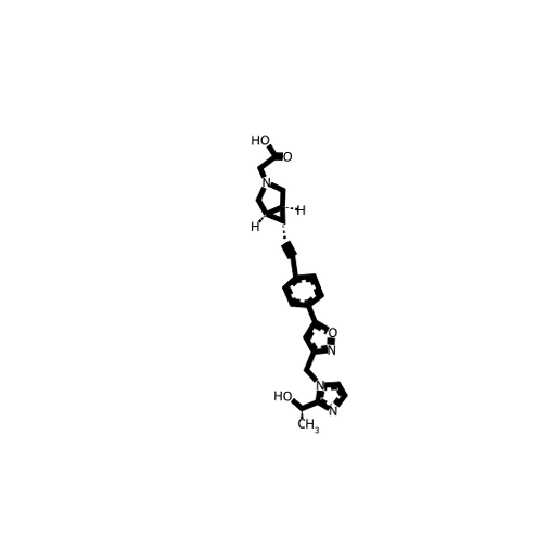 C[C@H](O)c1nccn1Cc1cc(-c2ccc(C#C[C@@H]3[C@H]4CN(CC(=O)O)C[C@@H]34)cc2)on1